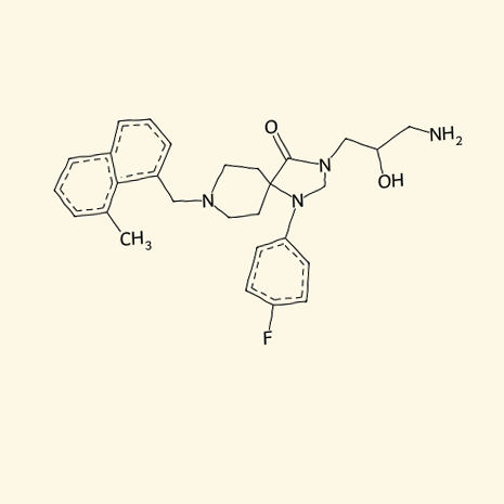 Cc1cccc2cccc(CN3CCC4(CC3)C(=O)N(CC(O)CN)CN4c3ccc(F)cc3)c12